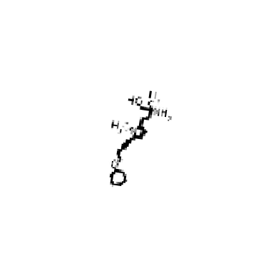 Cn1c(C#CCCOC2CCCCC2)ccc1CCC(C)(N)CO